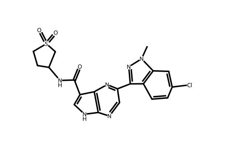 Cn1nc(-c2cnc3[nH]cc(C(=O)NC4CCS(=O)(=O)C4)c3n2)c2ccc(Cl)cc21